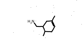 CC1=CCC(C)C(CN)C1